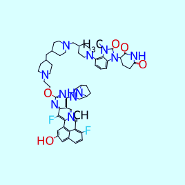 C#Cc1c(F)ccc2cc(O)cc(-c3ncc4c(N5CC6CCC(C5)N6)nc(OCCN5CCC(CC6CCN(CC7CCN(c8cccc9c8n(C)c(=O)n9C8CCC(=O)NC8=O)CC7)CC6)CC5)nc4c3F)c12